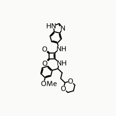 COc1cccc(C(CCC2OCCCO2)Nc2c(Nc3ccc4[nH]cnc4c3)c(=O)c2=O)c1